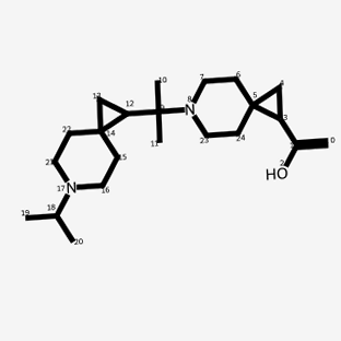 C=C(O)C1CC12CCN(C(C)(C)C1CC13CCN(C(C)C)CC3)CC2